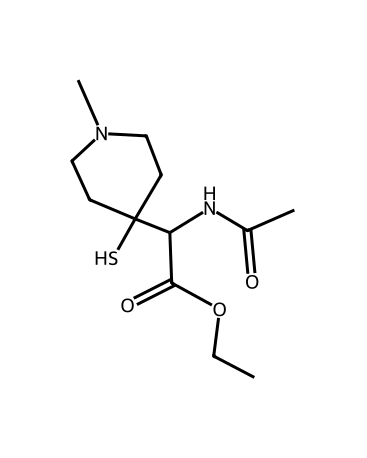 CCOC(=O)C(NC(C)=O)C1(S)CCN(C)CC1